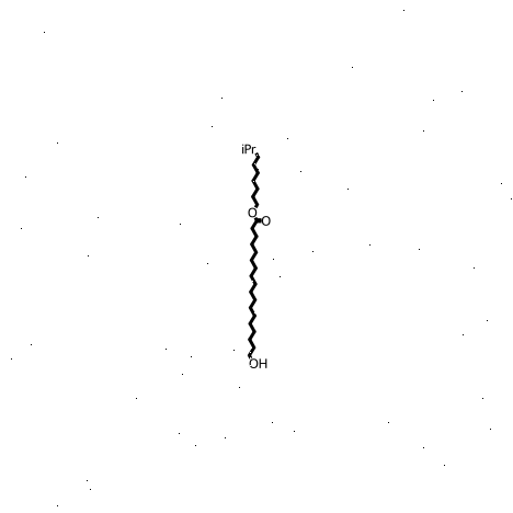 CC(C)CCCCCCCOC(=O)CCCCCCCCCCCCCCCCCO